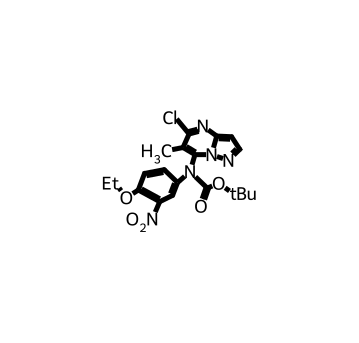 CCOc1ccc(N(C(=O)OC(C)(C)C)c2c(C)c(Cl)nc3ccnn23)cc1[N+](=O)[O-]